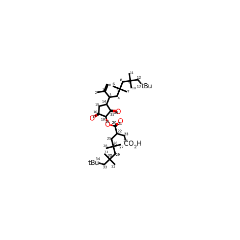 C=C(C)C(CC(C)(C)CC(C)(C)CC(C)(C)C)C1CC(=O)C(OC(=O)C(CC(=O)O)CC(C)(C)CC(C)(C)CC(C)(C)C)C1=O